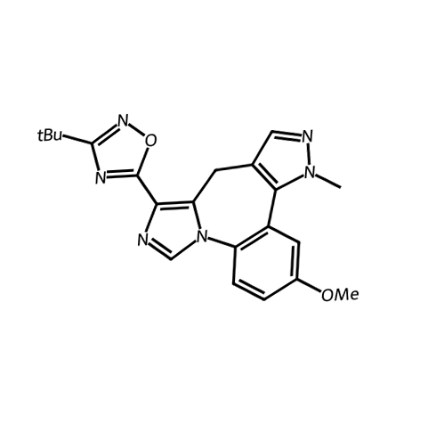 COc1ccc2c(c1)-c1c(cnn1C)Cc1c(-c3nc(C(C)(C)C)no3)ncn1-2